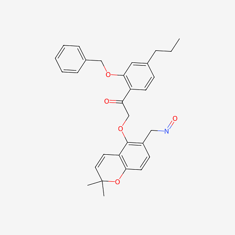 CCCc1ccc(C(=O)COc2c(CN=O)ccc3c2C=CC(C)(C)O3)c(OCc2ccccc2)c1